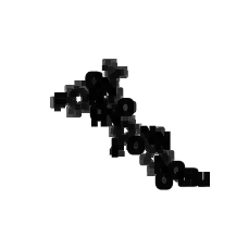 CC(C)(C)OC(=O)N1CCc2c(ncnc2Oc2ccc(NC(=O)c3cn(C4CC4)c(=O)n(-c4ccc(F)cc4)c3=O)cc2F)C1